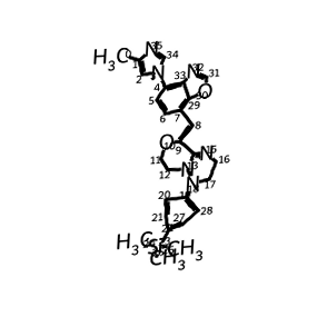 Cc1cn(-c2ccc(/C=C3\OCCN4C3=NCCN4c3ccc([Si](C)(C)C)cc3)c3ocnc23)cn1